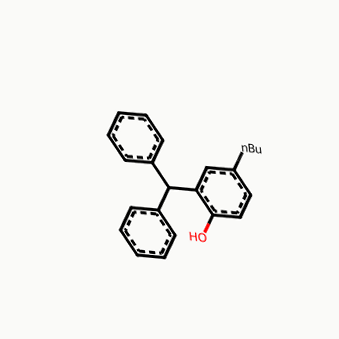 CCCCc1ccc(O)c(C(c2ccccc2)c2ccccc2)c1